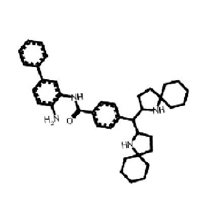 Nc1ccc(-c2ccccc2)cc1NC(=O)c1ccc(C(C2CCC3(CCCCC3)N2)C2CCC3(CCCCC3)N2)cc1